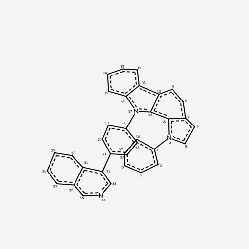 c1ccc(-n2ccc3ccc4c5ccccc5n(-c5ccc(-c6cncc7ccccc67)cc5)c4c32)cc1